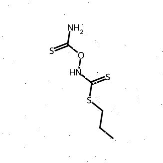 CCCSC(=S)NOC(N)=S